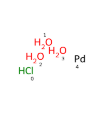 Cl.O.O.O.[Pd]